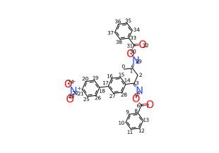 C/C(C/C(=N/OC(=O)c1ccccc1)c1ccc(-c2ccc([N+](=O)[O-])cc2)cc1)=N\OC(=O)c1ccccc1